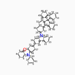 c1ccc(N2c3ccccc3Oc3cc(-c4ccc5c(c4)c4ccccc4n5-c4ccc5ccc6c(c5c4)-c4ccccc4C6(c4ccccc4)c4ccccc4)ccc32)cc1